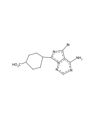 Nc1ncnn2c(C3CCC(C(=O)O)CC3)nc(Br)c12